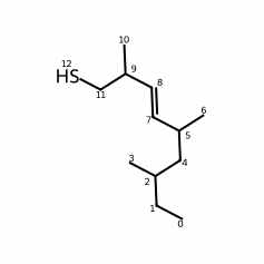 CCC(C)CC(C)C=CC(C)CS